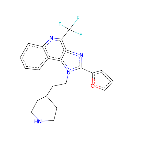 FC(F)(F)c1nc2ccccc2c2c1nc(-c1ccco1)n2CCC1CCNCC1